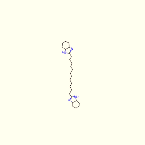 C(CCCCCCC1=NC2CCCCC2N1)CCCCCC1=NC2CCCCC2N1